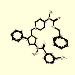 CCCN(C(=O)OCc1ccccc1)C1CCN(CC2CC(N(C)C(=O)c3cccc(C)c3)CC2c2ccccc2)CC1